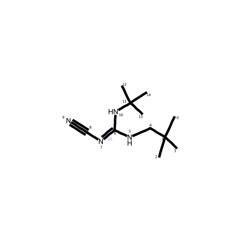 CC(C)(C)CN/C(=N/C#N)NC(C)(C)C